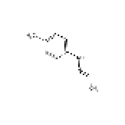 CC=NNc1ccc(C)cc1